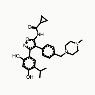 CC(C)c1cc(-c2noc(NC(=O)C3CC3)c2-c2ccc(CN3CCN(C)CC3)cc2)c(O)cc1O